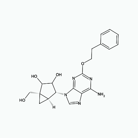 Nc1nc(OCCc2ccccc2)nc2c1ncn2[C@H]1C(O)C(O)[C@]2(CO)C[C@H]12